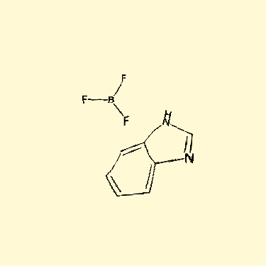 FB(F)F.c1ccc2[nH]cnc2c1